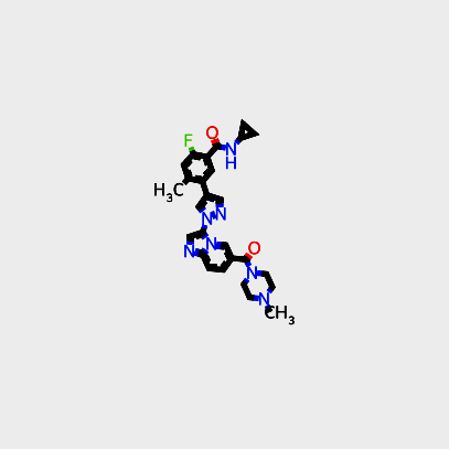 Cc1cc(F)c(C(=O)NC2CC2)cc1-c1cnn(-c2cnc3ccc(C(=O)N4CCN(C)CC4)cn23)c1